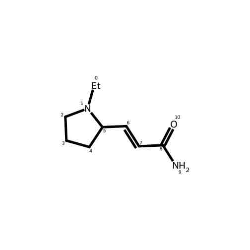 CCN1CCCC1C=CC(N)=O